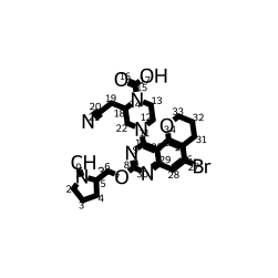 CN1CCCC1COc1nc(N2CCN(C(=O)O)C(CC#N)C2)c2c3c(c(Br)cc2n1)CCCO3